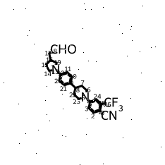 N#Cc1ccc(N2CCC(c3ccc(N4CCC(CC=O)C4)cc3)CC2)cc1C(F)(F)F